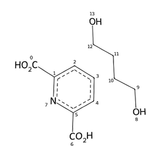 O=C(O)c1cccc(C(=O)O)n1.OCCCCO